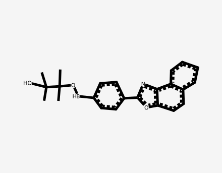 CC(C)(O)C(C)(C)OBc1ccc(-c2nc3c(ccc4ccccc43)o2)cc1